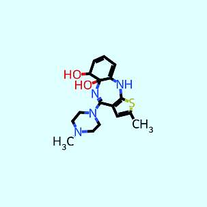 Cc1cc2c(s1)NC1=CC=CC(O)C1(O)N=C2N1CCN(C)CC1